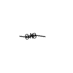 CCCCCCCCCCCCC(=O)Oc1cnc(-c2ccc(OC(=O)CCCCCCCC)cc2)nc1